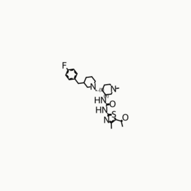 CC(=O)c1sc(NC(=O)N[C@H]2CN(C)CC[C@H]2CN2CCCC(Cc3ccc(F)cc3)C2)nc1C